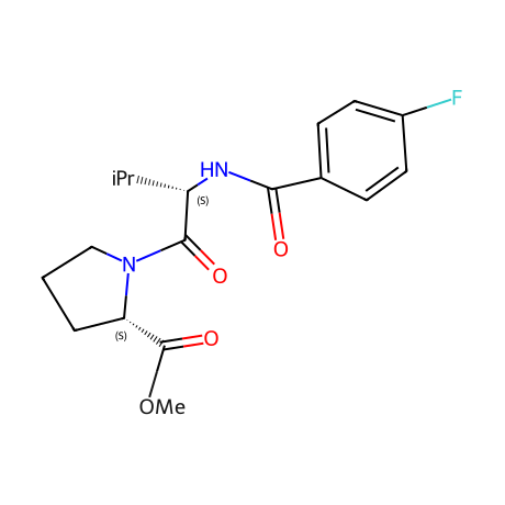 COC(=O)[C@@H]1CCCN1C(=O)[C@@H](NC(=O)c1ccc(F)cc1)C(C)C